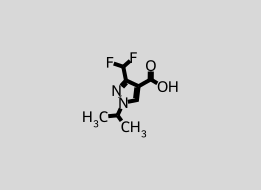 CC(C)n1cc(C(=O)O)c(C(F)F)n1